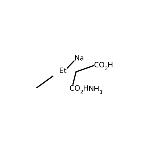 CC.C[CH2][Na].N.O=C(O)CC(=O)O